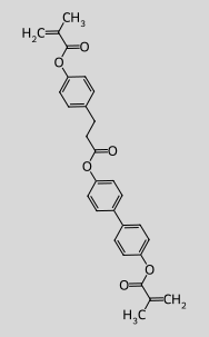 C=C(C)C(=O)Oc1ccc(CCC(=O)Oc2ccc(-c3ccc(OC(=O)C(=C)C)cc3)cc2)cc1